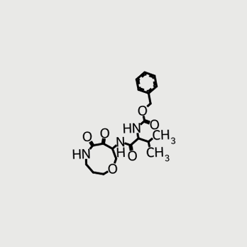 CC(C)C(NC(=O)OCc1ccccc1)C(=O)NC1COCCCNC(=O)C1=O